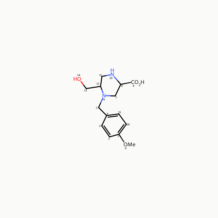 COc1ccc(CN2CC(C(=O)O)NCC2CO)cc1